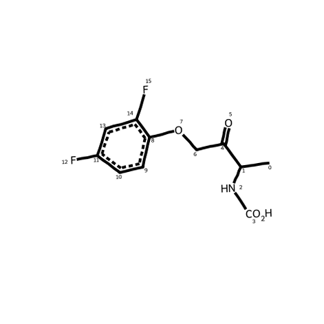 CC(NC(=O)O)C(=O)COc1ccc(F)cc1F